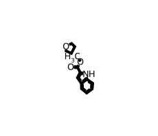 C1CCOC1.COC(=O)c1cc2ccccc2[nH]1